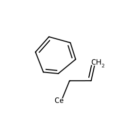 C=C[CH2][Ce].c1ccccc1